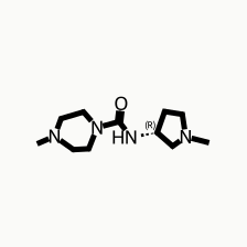 CN1CCN(C(=O)N[C@@H]2CCN(C)C2)CC1